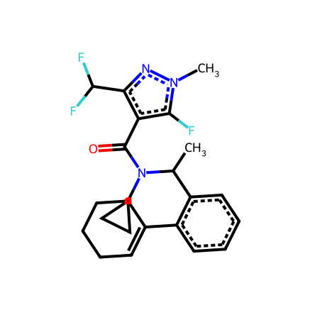 CC(c1ccccc1C1=CCCCC1)N(C(=O)c1c(C(F)F)nn(C)c1F)C1CC1